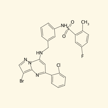 Cc1ccc(F)cc1S(=O)(=O)Nc1cccc(CNc2cc(-c3ccccc3Cl)nc3c(Br)cnn23)c1